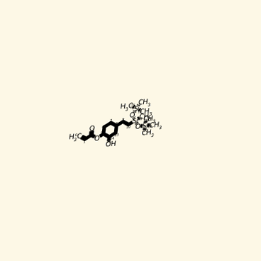 C=CC(=O)OC1CCC(CC[Si](C)(O[Si](C)(C)C)O[Si](C)(C)C)CC1O